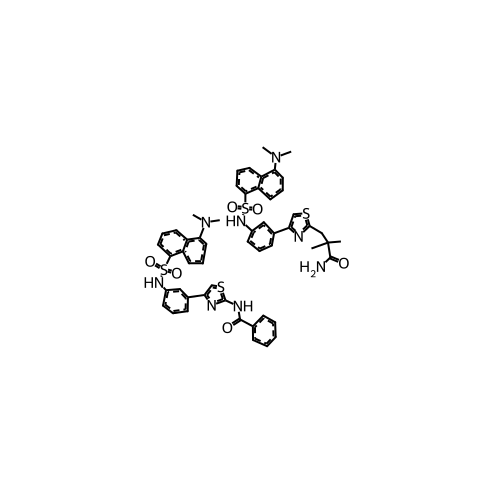 CN(C)c1cccc2c(S(=O)(=O)Nc3cccc(-c4csc(CC(C)(C)C(N)=O)n4)c3)cccc12.CN(C)c1cccc2c(S(=O)(=O)Nc3cccc(-c4csc(NC(=O)c5ccccc5)n4)c3)cccc12